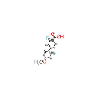 COc1ccc(-c2ccc(C(=O)O)c(F)c2)c(F)c1